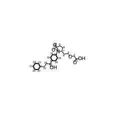 O=C(O)COCCC1CCS(=O)(=O)N1c1ccc(C(O)CCc2ccccc2)cc1